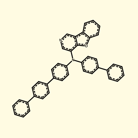 c1ccc(-c2ccc(-c3ccc(N(c4ccc(-c5ccccc5)cc4)c4cncc5c4oc4ccccc45)cc3)cc2)cc1